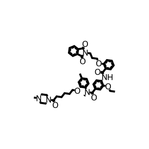 CCOc1cc(C(=O)N(C)c2ccc(C)cc2OCCCCCC(=O)N2CCN(C)CC2)ccc1NC(=O)c1ccccc1OCCCN1C(=O)c2ccccc2C1=O